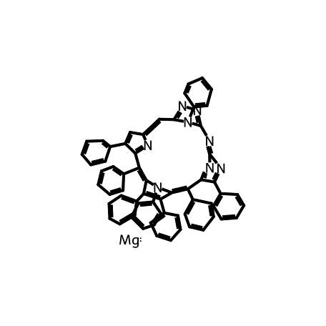 C1=C(c2ccccc2)c2nc1cc1nnc(nc3nc(c(-c4ccccc4)c4c(-c5ccccc5)c(-c5ccccc5)c(c2-c2ccccc2)n4-c2ccccc2)C(c2ccccc2)=N3)n1-c1ccccc1.[Mg]